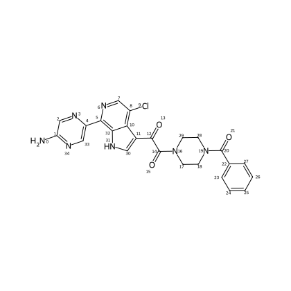 Nc1cnc(-c2ncc(Cl)c3c(C(=O)C(=O)N4CCN(C(=O)c5ccccc5)CC4)c[nH]c23)cn1